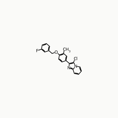 Cc1cc(-c2nc3ccccn3c2Cl)ccc1OCc1cccc(F)c1